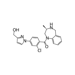 C[C@@H]1CN(C(=O)c2ccc(-n3ccc(CO)n3)cc2Cl)c2ccccc2CN1